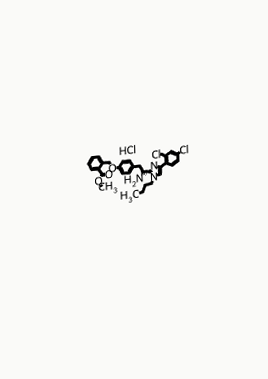 CCCCn1cc(-c2ccc(Cl)cc2Cl)nc1[C@@H](N)Cc1ccc(OCc2ccccc2C(=O)OC)cc1.Cl